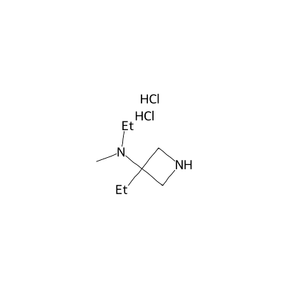 CCN(C)C1(CC)CNC1.Cl.Cl